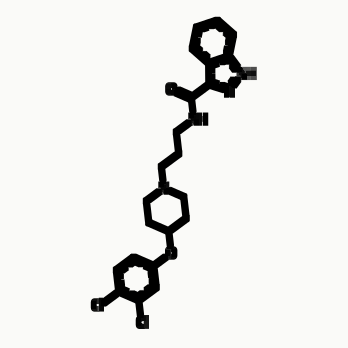 O=C(NCCCN1CCC(Oc2ccc(Cl)c(Cl)c2)CC1)c1n[nH]c2ccccc12